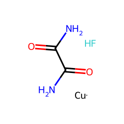 F.NC(=O)C(N)=O.[Cu]